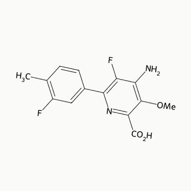 COc1c(C(=O)O)nc(-c2ccc(C)c(F)c2)c(F)c1N